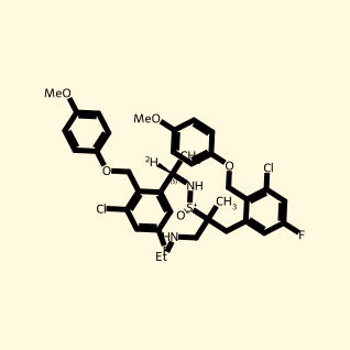 [2H][C@@](C)(N[S+]([O-])C(C)(CNCC)Cc1cc(F)cc(Cl)c1COc1ccc(OC)cc1)c1cc(F)cc(Cl)c1COc1ccc(OC)cc1